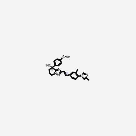 CSc1ccc([C@@]2(C#N)CCCn3nc(/C=C/c4ccc(-n5cnc(C)c5)c(C)c4)nc32)cc1